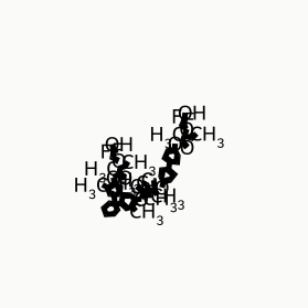 CCC(C)(OCC(O)(F)F)C(=O)Oc1ccc(-c2ccc(OC(C)(CC)C(C)(CC)C(=O)Oc3ccc(C4(c5ccc(OC(=O)C(C)(CC)OCC(O)(F)F)c(C)c5)CCCCC4)cc3C)cc2)cc1